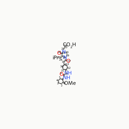 COc1ccccc1NC(=O)Nc1ccc(CC(=O)N2CCN(CCC(=O)O)C(=O)C2CC(C)C)cc1